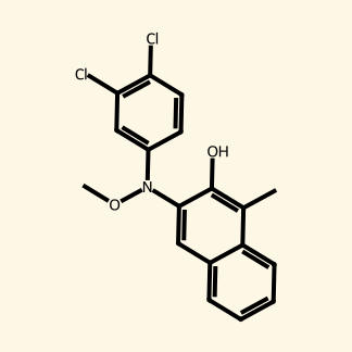 CON(c1ccc(Cl)c(Cl)c1)c1cc2ccccc2c(C)c1O